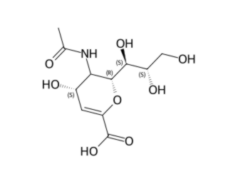 CC(=O)NC1[C@H]([C@@H](O)[C@@H](O)CO)OC(C(=O)O)=C[C@@H]1O